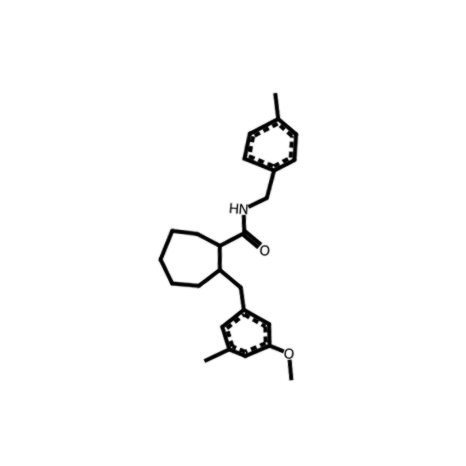 COc1cc(C)cc(CC2CCCCCC2C(=O)NCc2ccc(C)cc2)c1